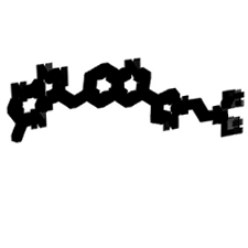 CCN(CC)CCn1cc(-c2cnc3ccc(Cc4nnc5ncc(C)nn45)cc3c2)cn1